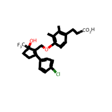 Cc1c(CCC(=O)O)ccc(OCC2=C(c3ccc(Cl)cc3)CCC2(O)C(F)(F)F)c1C